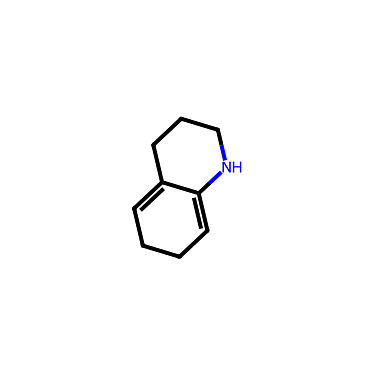 C1=C2CCCNC2=CCC1